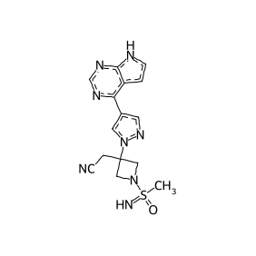 CS(=N)(=O)N1CC(CC#N)(n2cc(-c3ncnc4[nH]ccc34)cn2)C1